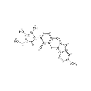 Cc1ccc2c(Cn3c(=O)ccn([C@@H]4O[C@H](CO)[C@H](O)C4O)c3=O)noc2c1